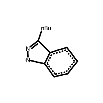 CCCCC1=N[N]c2ccccc21